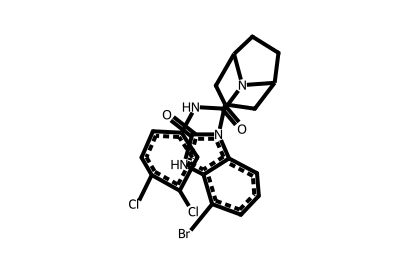 O=C(Nc1ccc(Cl)c(Cl)c1)N1C2CCC1CC(n1c(=O)[nH]c3c(Br)cccc31)C2